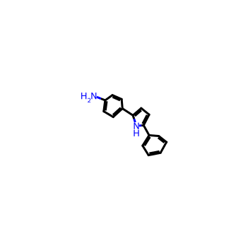 Nc1ccc(-c2ccc(-c3ccccc3)[nH]2)cc1